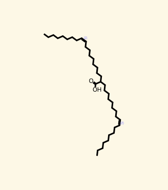 CCCCCCCC/C=C\CCCCCCCCC(CCCCCCCC/C=C\CCCCCCCC)C(=O)O